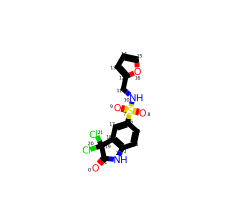 O=C1Nc2ccc(S(=O)(=O)NCc3ccco3)cc2C1(Cl)Cl